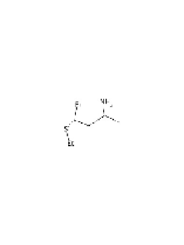 CCSC(CC)CC(C)N